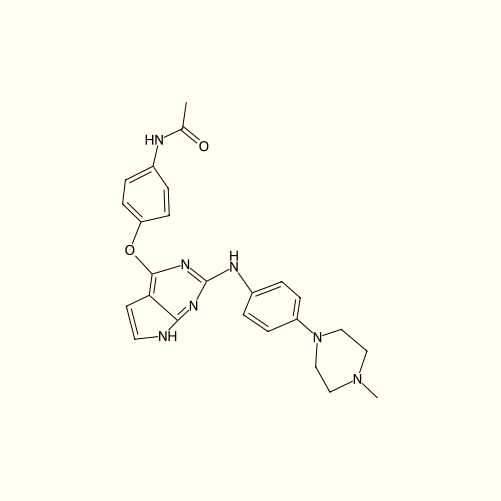 CC(=O)Nc1ccc(Oc2nc(Nc3ccc(N4CCN(C)CC4)cc3)nc3[nH]ccc23)cc1